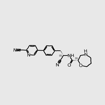 N#Cc1ccc(-c2ccc(C[C@@H](C#N)NC(=O)[C@@H]3CNCCCO3)cc2)cn1